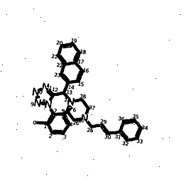 Cc1cccc(C)c1-n1nnnc1C(c1ccc2ccccc2c1)N1CCN(CC=Cc2ccccc2)CC1